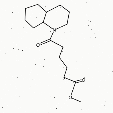 COC(=O)CCCCC(=O)N1CCCC2CCCCC21